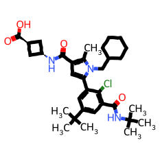 Cc1c(C(=O)N[C@H]2C[C@H](C(=O)O)C2)cc(-c2cc(C(C)(C)C)cc(C(=O)NC(C)(C)C)c2Cl)n1CC1CCCCC1